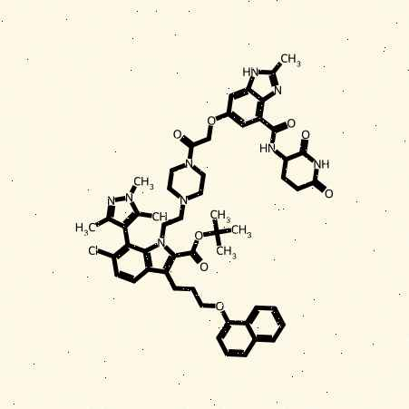 Cc1nc2c(C(=O)NC3CCC(=O)NC3=O)cc(OCC(=O)N3CCN(CCn4c(C(=O)OC(C)(C)C)c(CCCOc5cccc6ccccc56)c5ccc(Cl)c(-c6c(C)nn(C)c6C)c54)CC3)cc2[nH]1